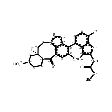 CC(C)(C)OC(=O)Nc1sc2c(F)ccc(-c3c(F)cc4c5c3nnn5CC[C@@H]3CN(C(=O)O)CCN3C4=O)c2c1C#N